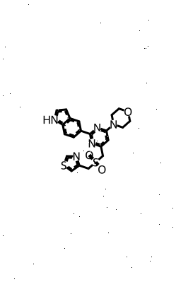 O=S(=O)(Cc1cscn1)Cc1cc(N2CCOCC2)nc(-c2ccc3[nH]ccc3c2)n1